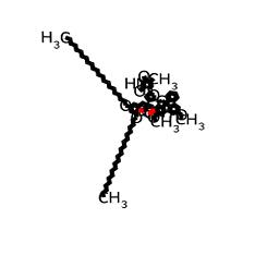 CCCCCCCCCCCCCCCCCCCCCCOc1cc(CC(CC(=O)O)(C(=O)O)[C@H]2C[C@H](n3cc(C)c(=O)[nH]c3=O)O[C@@H]2COC(c2ccccc2)(c2ccc(OC)cc2)c2ccc(OC)cc2)cc(OCCCCCCCCCCCCCCCCCCCCCC)c1